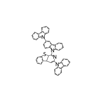 C1=C(n2c3ccccc3c3ccccc32)N=C(n2c3ccccc3c3cc(-n4c5ccccc5c5ccccc54)ccc32)C2Sc3ccccc3C12